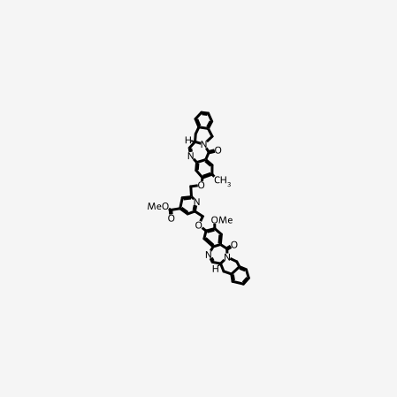 COC(=O)c1cc(COc2cc3c(cc2C)C(=O)N2Cc4ccccc4C[C@H]2C=N3)nc(COc2cc3c(cc2OC)C(=O)N2Cc4ccccc4C[C@H]2C=N3)c1